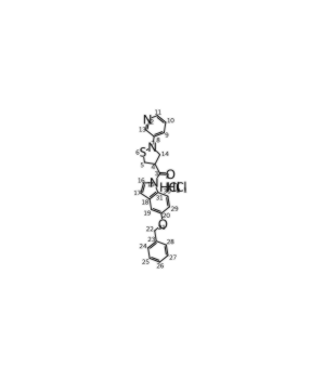 Cl.Cl.O=C(C1CSN(c2cccnc2)C1)n1ccc2cc(OCc3ccccc3)ccc21